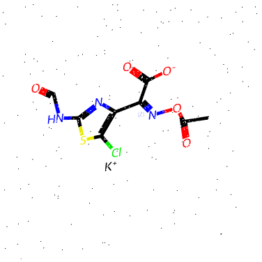 CC(=O)O/N=C(\C(=O)[O-])c1nc(NC=O)sc1Cl.[K+]